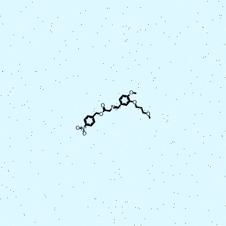 COCCCOc1cc(/C=N/CC(=O)OCc2ccc([N+](=O)[O-])cc2)ccc1OC